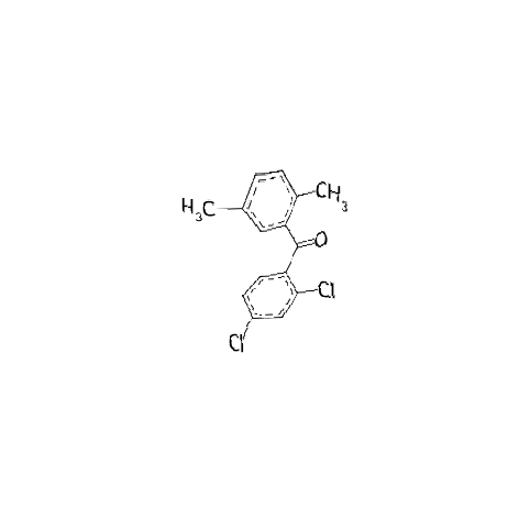 Cc1ccc(C)c(C(=O)c2ccc(Cl)cc2Cl)c1